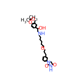 CC1(C)OCc2cc(C(O)CNCCCCCCOCCCc3cccc(N4CC(=O)NC4=O)c3)ccc2O1